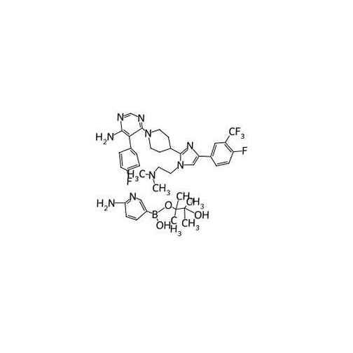 CC(C)(O)C(C)(C)OB(O)c1ccc(N)nc1.CN(C)CCn1cc(-c2ccc(F)c(C(F)(F)F)c2)nc1C1CCN(c2ncnc(N)c2-c2ccc(F)cc2)CC1